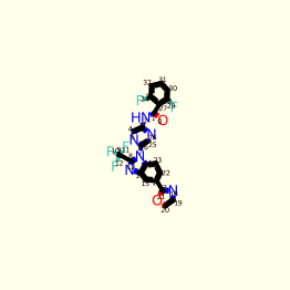 O=C(Nc1cnc(-n2c(C(F)(F)F)nc3cc(-c4ncco4)ccc32)cn1)c1c(F)cccc1F